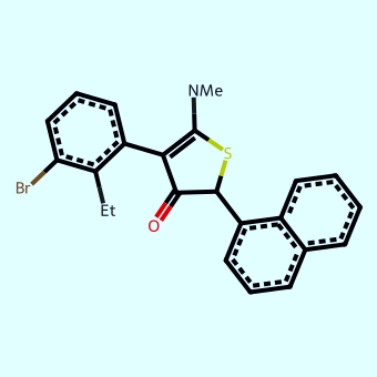 CCc1c(Br)cccc1C1=C(NC)SC(c2cccc3ccccc23)C1=O